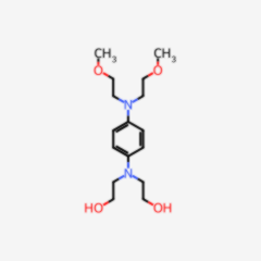 COCCN(CCOC)c1ccc(N(CCO)CCO)cc1